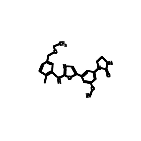 Cc1ccc(COCC(F)(F)F)cc1Nc1ncc(-c2cc(OC(C)C)cc(N3CCNC3=O)c2)o1